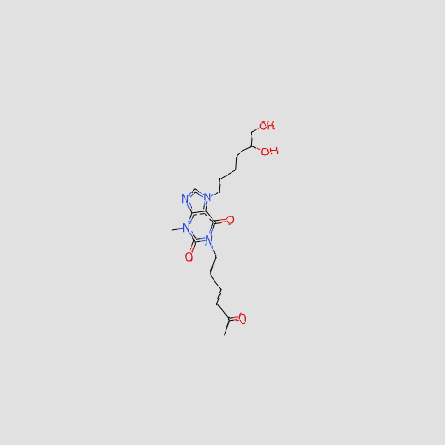 CC(=O)CCCCn1c(=O)c2c(ncn2CCCCC(O)CO)n(C)c1=O